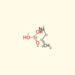 C=C[CH2][Na].O=S(O)O